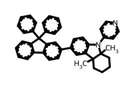 CC12CCCCC1(C)N(c1ccncc1)c1ccc(-c3ccc4c(c3)C(c3ccccc3)(c3ccccc3)c3ccccc3-4)cc12